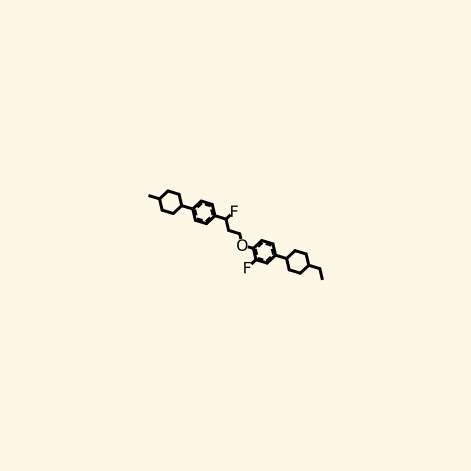 CCC1CCC(c2ccc(OCCC(F)c3ccc(C4CCC(C)CC4)cc3)c(F)c2)CC1